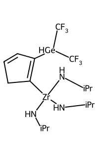 CC(C)[NH][Zr]([NH]C(C)C)([NH]C(C)C)[C]1=[C]([GeH]([C](F)(F)F)[C](F)(F)F)C=CC1